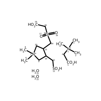 C[N+](C)(C)CC(=O)O.C[N+]1(C)CC(CS(=O)(=O)O)C(CS(=O)(=O)CC(=O)O)C1.O.O